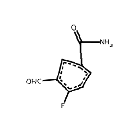 NC(=O)c1ccc(F)c(C=O)c1